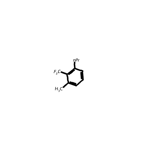 CCCc1cccc(C)c1C(F)(F)F